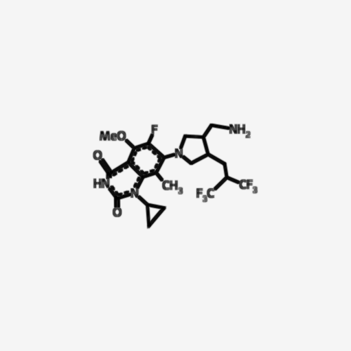 COc1c(F)c(N2CC(CN)C(CC(C(F)(F)F)C(F)(F)F)C2)c(C)c2c1c(=O)[nH]c(=O)n2C1CC1